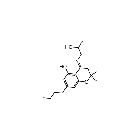 CCCCc1cc(O)c2c(c1)OC(C)(C)CC2=NCC(C)O